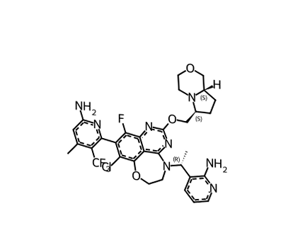 Cc1cc(N)nc(-c2c(Cl)c3c4c(nc(OC[C@@H]5CC[C@H]6COCCN65)nc4c2F)N([C@H](C)c2cccnc2N)CCO3)c1C(F)(F)F